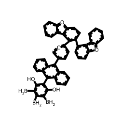 Bc1c(B)c(O)c(-c2c3ccccc3c(-c3ccc(-c4c(-c5cccc6oc7ccccc7c56)ccc5oc6ccccc6c45)cc3)c3ccccc23)c(O)c1B